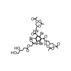 CC(=O)OCC(CNC(=O)c1c(Br)c(NC(=O)COC(=O)CCC(O)CO)c(Br)c(C(=O)NCC(COC(C)=O)OC(C)=O)c1Br)OC(C)=O